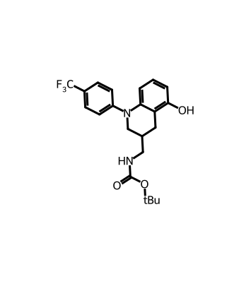 CC(C)(C)OC(=O)NCC1Cc2c(O)cccc2N(c2ccc(C(F)(F)F)cc2)C1